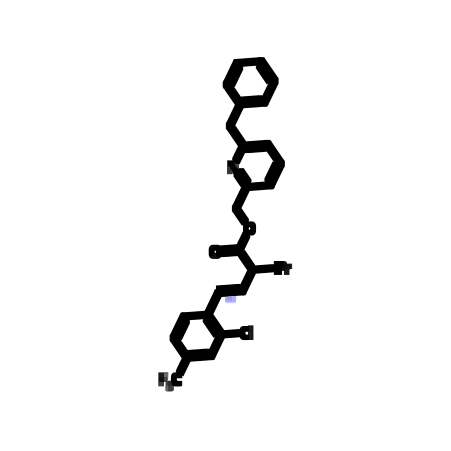 CC(C)C(/C=C/c1ccc(C(F)(F)F)cc1Cl)C(=O)OCc1cccc(Cc2ccccc2)n1